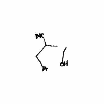 CC(C)CC(C)C#N.CO